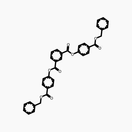 O=C(OCc1ccccc1)c1ccc(OC(=O)c2cccc(C(=O)Oc3ccc(C(=O)OCc4ccccc4)cc3)c2)cc1